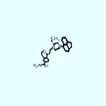 CC[C@@H]1CN(c2ccc3c4c(cccc24)CC3)CCN1CC[C@@H]1OCCc2cc(C(N)=O)ccc21